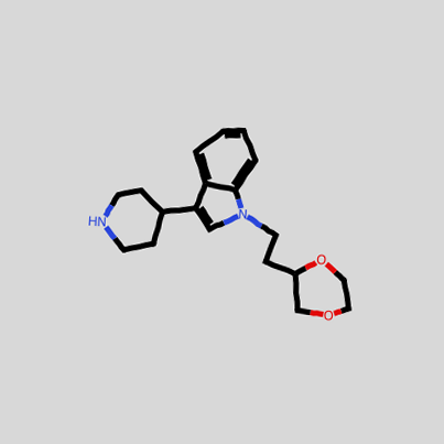 c1ccc2c(c1)c(C1CCNCC1)cn2CCC1COCCO1